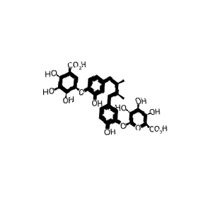 C[C@H](Cc1ccc(O[C@@H]2C[C@H](C(=O)O)[C@@H](O)[C@H](O)[C@H]2O)c(O)c1)[C@@H](C)Cc1ccc(O)c(O[C@@H]2O[C@H](C(=O)O)[C@@H](O)[C@H](O)[C@H]2O)c1